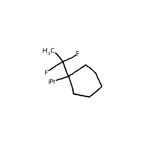 CC(C)C1(C(C)(F)F)CCCCC1